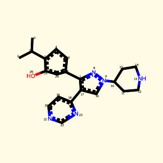 CC(C)c1ccc(-c2nn(C3CCNCC3)cc2-c2ccncn2)cc1O